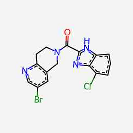 O=C(c1nc2c(Cl)cccc2[nH]1)N1CCc2ncc(Br)cc2C1